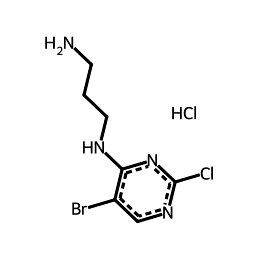 Cl.NCCCNc1nc(Cl)ncc1Br